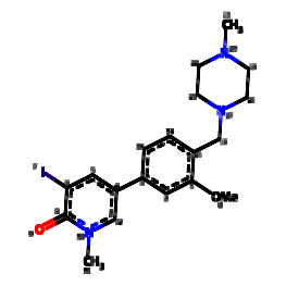 COc1cc(-c2cc(I)c(=O)n(C)c2)ccc1CN1CCN(C)CC1